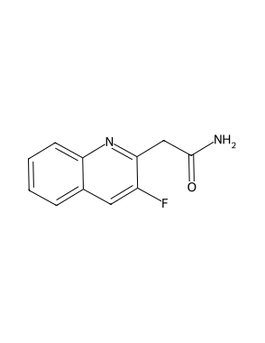 NC(=O)Cc1nc2ccccc2cc1F